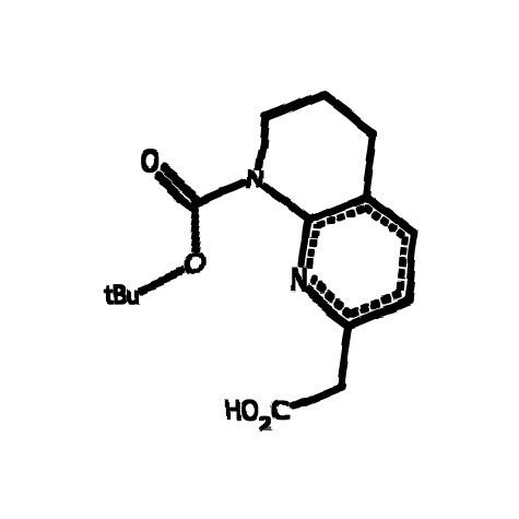 CC(C)(C)OC(=O)N1CCCc2ccc(CC(=O)O)nc21